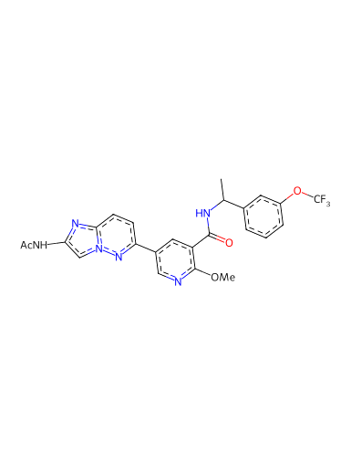 COc1ncc(-c2ccc3nc(NC(C)=O)cn3n2)cc1C(=O)NC(C)c1cccc(OC(F)(F)F)c1